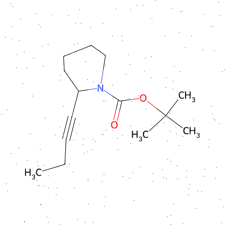 CCC#CC1CCCCN1C(=O)OC(C)(C)C